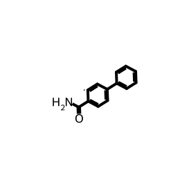 NC(=O)c1[c]cc(-c2ccccc2)cc1